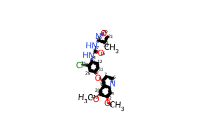 COc1cc2nccc(Oc3ccc(NC(=O)Nc4nocc4C)c(Cl)c3)c2cc1OC